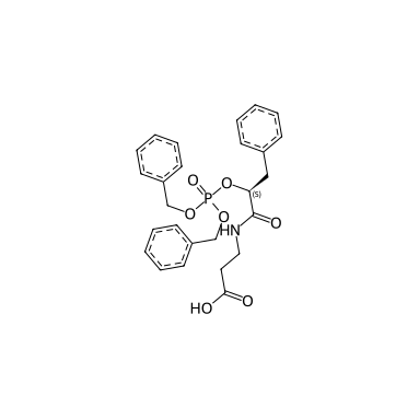 O=C(O)CCNC(=O)[C@H](Cc1ccccc1)OP(=O)(OCc1ccccc1)OCc1ccccc1